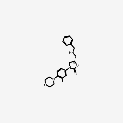 O=C1O[C@@H](CNCc2ccccc2)CN1c1ccc(N2CCOCC2)c(F)c1